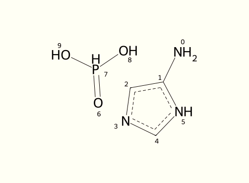 Nc1cnc[nH]1.O=[PH](O)O